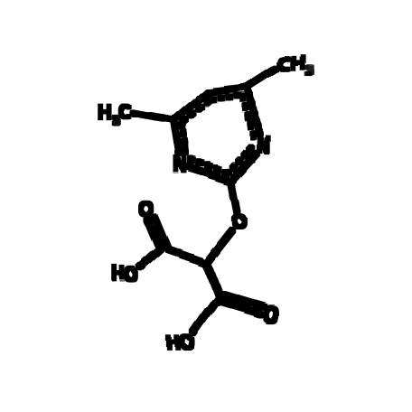 Cc1cc(C)nc(OC(C(=O)O)C(=O)O)n1